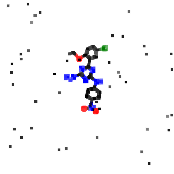 CCOc1ccc(Cl)cc1-c1nc(N)nc(Nc2ccc([N+](=O)[O-])cc2)n1